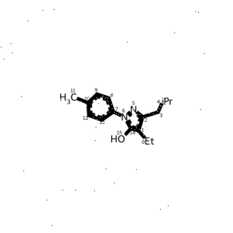 CCc1c(CC(C)C)nn(-c2ccc(C)cc2)c1O